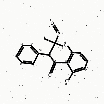 CC(C)(P=O)C(C(=O)c1c(Cl)cccc1Cl)c1ccccc1